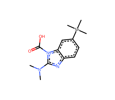 CN(C)c1nc2cc[c]([Sn]([CH3])([CH3])[CH3])cc2n1C(=O)O